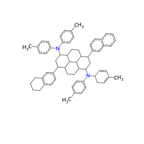 CC1=CCC(N(c2ccc(C)cc2)C2CC(c3ccc4ccccc4c3)C3CCC4C5C(CCC2C35)C(c2ccc3c(c2)CCCC3)CC4N(c2ccc(C)cc2)c2ccc(C)cc2)C=C1